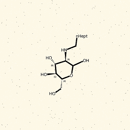 CCCCCCCCN[C@H]1C(O)O[C@H](CO)[C@@H](O)[C@@H]1O